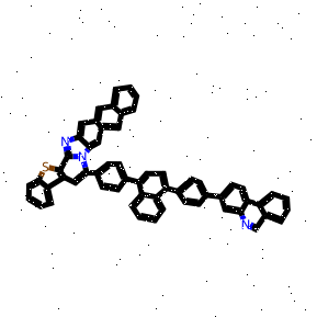 c1ccc2cc3cc4c(cc3cc2c1)nc1c2sc3ccccc3c2cc(-c2ccc(-c3ccc(-c5ccc(-c6ccc7c(c6)ncc6ccccc67)cc5)c5ccccc35)cc2)n41